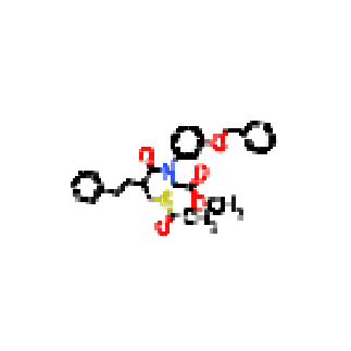 COC(=O)CN(C(=O)C(CCc1ccccc1)CSC(C)=O)c1cccc(OCc2ccccc2)c1